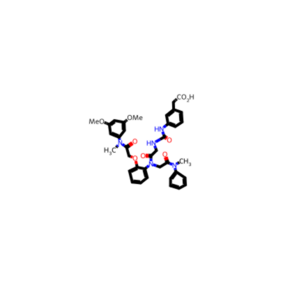 COc1cc(OC)cc(N(C)C(=O)COc2ccccc2N(CC(=O)N(C)c2ccccc2)C(=O)CNC(=O)Nc2cccc(CC(=O)O)c2)c1